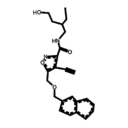 C#Cc1c(C(=O)NCC(CC)CCO)noc1COCc1ccc2ccccc2c1